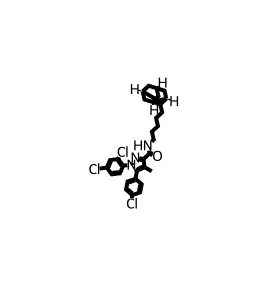 Cc1c(C(=O)NCCCCCC2[C@H]3C[C@@H]4C[C@@H](C[C@H]2C4)C3)nn(-c2ccc(Cl)cc2Cl)c1-c1ccc(Cl)cc1